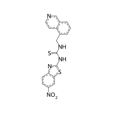 O=[N+]([O-])c1ccc2nc(NC(=S)NCc3cccc4cnccc34)sc2c1